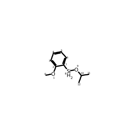 COc1ccccc1[SiH2]OC(C)C